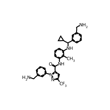 Cc1c(NC(=O)c2cc(C(F)(F)F)nn2-c2cccc(CN)c2)cccc1NC(c1cccc(CN)c1)C1CC1